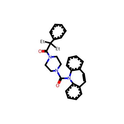 CCC(CC)(C(=O)N1CCN(C(=O)N2c3ccccc3C=Cc3ccccc32)CC1)c1ccccc1